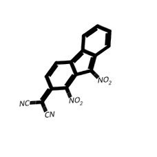 N#CC(C#N)=c1ccc2c(c1[N+](=O)[O-])C([N+](=O)[O-])=c1ccccc1=2